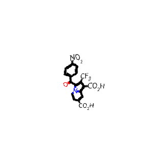 O=C(O)c1ccn2c(C(=O)c3ccc([N+](=O)[O-])cc3)c(C(F)(F)F)c(C(=O)O)c2c1